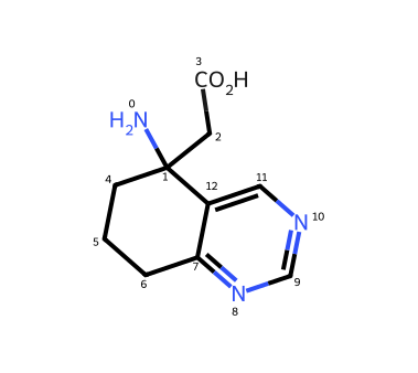 NC1(CC(=O)O)CCCc2ncncc21